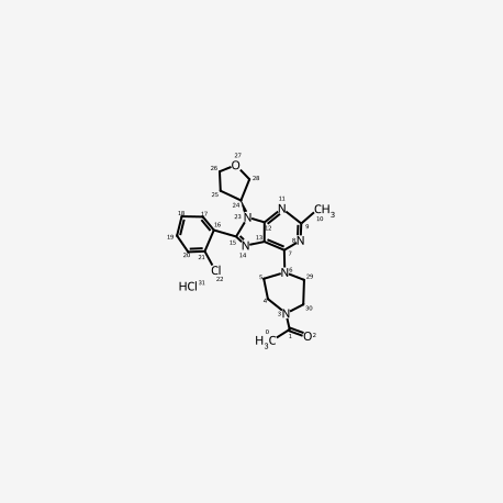 CC(=O)N1CCN(c2nc(C)nc3c2nc(-c2ccccc2Cl)n3[C@H]2CCOC2)CC1.Cl